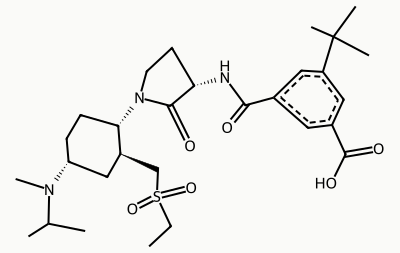 CCS(=O)(=O)C[C@H]1C[C@H](N(C)C(C)C)CC[C@@H]1N1CC[C@H](NC(=O)c2cc(C(=O)O)cc(C(C)(C)C)c2)C1=O